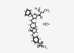 CCC(CC)C(=O)N1CC(CN2CCC3(CC2)CCN(Cc2ccc(S(C)(=O)=O)cc2)C3=O)C(c2ccccc2)C1.Cl